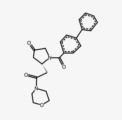 O=C1C[C@@H](CC(=O)N2CCOCC2)N(C(=O)c2ccc(-c3ccccc3)cc2)C1